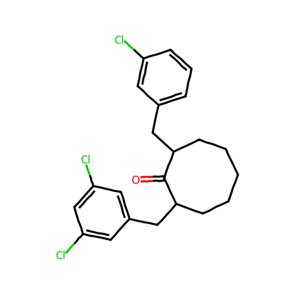 O=C1C(Cc2cccc(Cl)c2)CCCCCC1Cc1cc(Cl)cc(Cl)c1